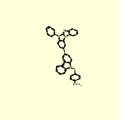 Cc1ccc(Sn2c3ccccc3c3cc(-c4ccc5c(c4)n4c6ccccc6nc4n5-c4ccccc4)ccc32)cc1